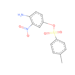 Cc1ccc(S(=O)(=O)Oc2ccc(N)c([N+](=O)[O-])c2)cc1